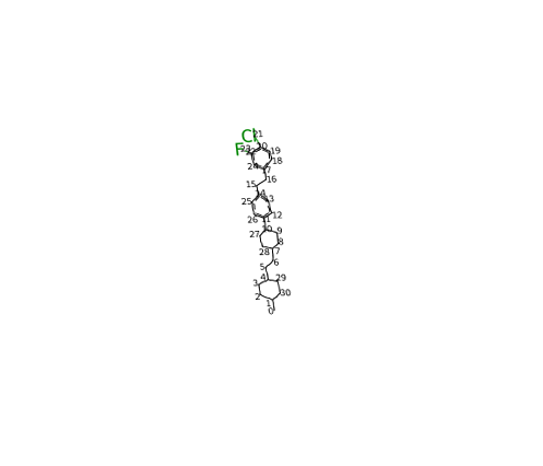 CC1CCC(CCC2CCC(c3ccc(CCc4ccc(Cl)c(F)c4)cc3)CC2)CC1